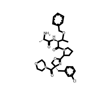 CC(OCc1ccccc1)[C@H](NC(=O)[C@H](C)N)C(=O)N1CCCC1C1=N[C@@](Cc2cccc(Cl)c2)(C(=O)N2CCOCC2)CO1